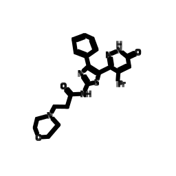 CC(C)c1cc(=O)[nH]nc1-c1sc(NC(=O)CCN2CCOCC2)nc1-c1ccccc1